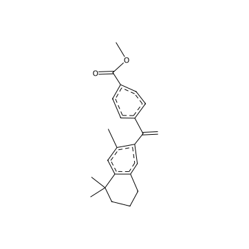 C=C(c1ccc(C(=O)OC)cc1)c1cc2c(cc1C)C(C)(C)CCC2